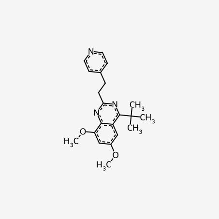 COc1cc(OC)c2nc(CCc3ccncc3)nc(C(C)(C)C)c2c1